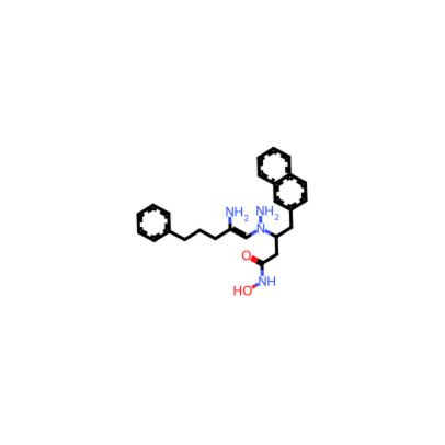 N/C(=C\N(N)C(CC(=O)NO)Cc1ccc2ccccc2c1)CCCc1ccccc1